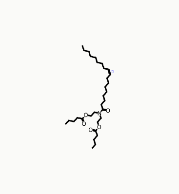 CCCCCCCC/C=C\CCCCCCCC(=O)N(CCOC(=O)CCCC)CCOC(=O)CCCC